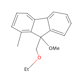 CCOCC1(OC)c2ccccc2-c2cccc(C)c21